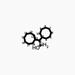 O[SiH2]C(C1CCCCCCC1)C1CCCCCCC1